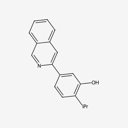 CC(C)c1ccc(-c2cc3ccccc3cn2)cc1O